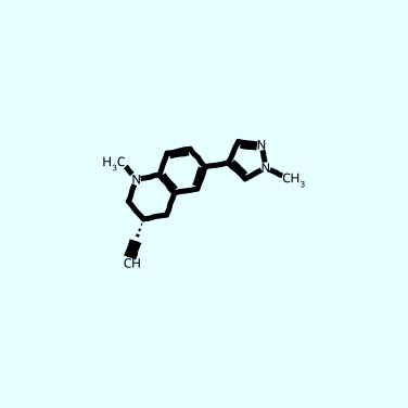 C#C[C@H]1Cc2cc(-c3cnn(C)c3)ccc2N(C)C1